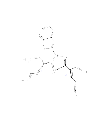 C=C/C=C(\C=C)c1nn(-c2nc3ccccc3s2)[n+](/C(C=C)=C/C=C)n1